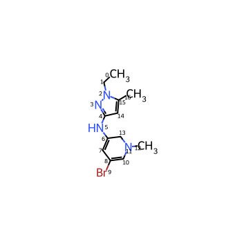 CCn1nc(NC2=CC(Br)=CN(C)C2)cc1C